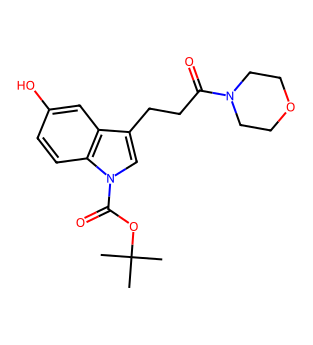 CC(C)(C)OC(=O)n1cc(CCC(=O)N2CCOCC2)c2cc(O)ccc21